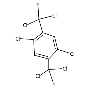 FC(Cl)(Cl)c1cc(Cl)c(C(F)(Cl)Cl)cc1Cl